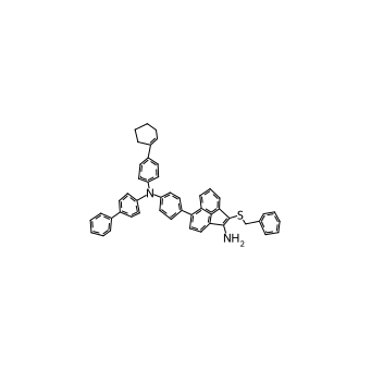 NC1=C(SCc2ccccc2)c2cccc3c(-c4ccc(N(c5ccc(C6=CCCCC6)cc5)c5ccc(-c6ccccc6)cc5)cc4)ccc1c23